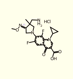 CO/N=C1\CN(c2c(F)cc3c(=O)c(C(=O)O)cn(C4CC4)c3c2F)CC1(C)CN.Cl